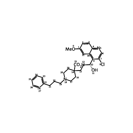 COc1ccc2ncc(Cl)c([C@H](O)CCC3(C(=O)O)CCN(CCCc4ccccn4)CC3)c2c1